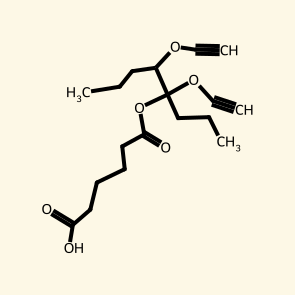 C#COC(CCC)C(CCC)(OC#C)OC(=O)CCCCC(=O)O